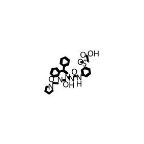 O=C(O)C[S+]([O-])c1cccc(NC(=O)NN2C=C(c3ccccc3)c3ccccc3N(CC(=O)N3CCCC3)C2=O)c1